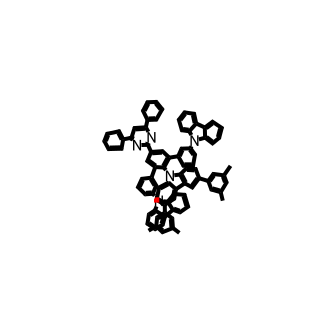 Cc1cc(C)cc(-c2ccc3c(c2)c2cc(-c4cc(C)cc(C)c4)ccc2n3-c2c(-c3cccc(-n4c5ccccc5c5ccccc54)c3)cc(-c3nc(-c4ccccc4)cc(-c4ccccc4)n3)cc2-c2cccc(-n3c4ccccc4c4ccccc43)c2)c1